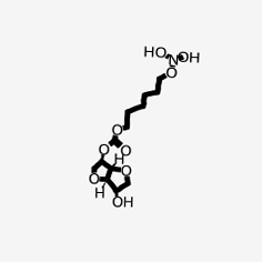 O=C(OCCCCCCON(O)O)O[C@@H]1CO[C@H]2[C@@H]1OC[C@H]2O